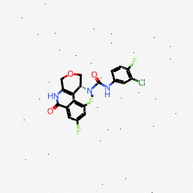 CN(C(=O)Nc1ccc(F)c(Cl)c1)[C@H]1COCc2[nH]c(=O)c3cc(F)cc(F)c3c21